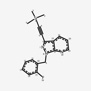 C[Si](C)(C)C#Cc1nn(Cc2ccccc2F)c2ncccc12